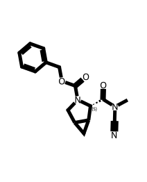 CN(C#N)C(=O)[C@@H]1C2CC2CN1C(=O)OCc1ccccc1